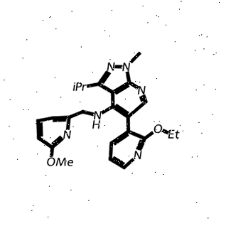 CCOc1ncccc1-c1cnc2c(c(C(C)C)nn2C)c1NCc1cccc(OC)n1